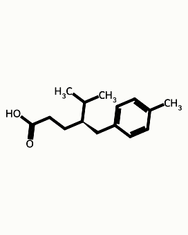 Cc1ccc(C[C@@H](CCC(=O)O)C(C)C)cc1